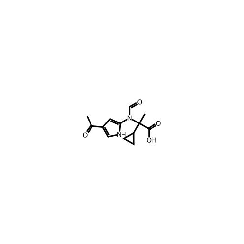 CC(=O)c1c[nH]c(N(C=O)C(C)(C(=O)O)C2CC2)c1